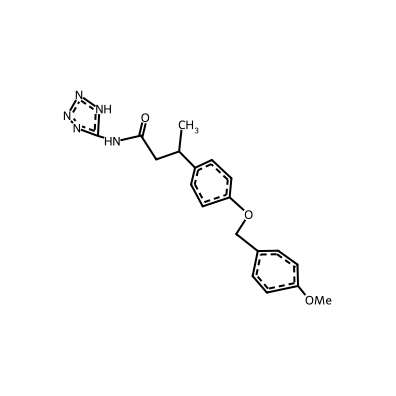 COc1ccc(COc2ccc(C(C)CC(=O)Nc3nnn[nH]3)cc2)cc1